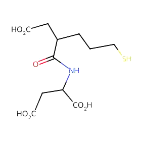 O=C(O)CC(CCCS)C(=O)NC(CC(=O)O)C(=O)O